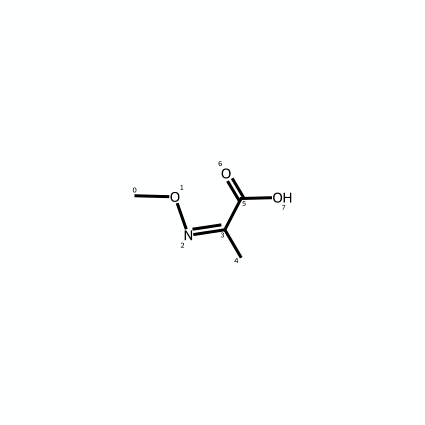 CON=C(C)C(=O)O